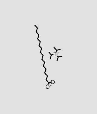 CCCCCCCCCCCCCCCCCC(=O)[O-].C[CH](C)[Ti+]([CH](C)C)[CH](C)C